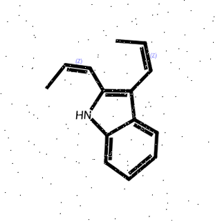 C/C=C\c1[nH]c2ccccc2c1/C=C\C